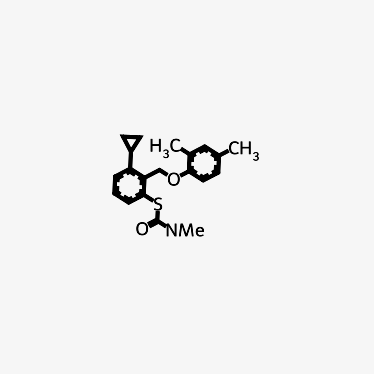 CNC(=O)Sc1cccc(C2CC2)c1COc1ccc(C)cc1C